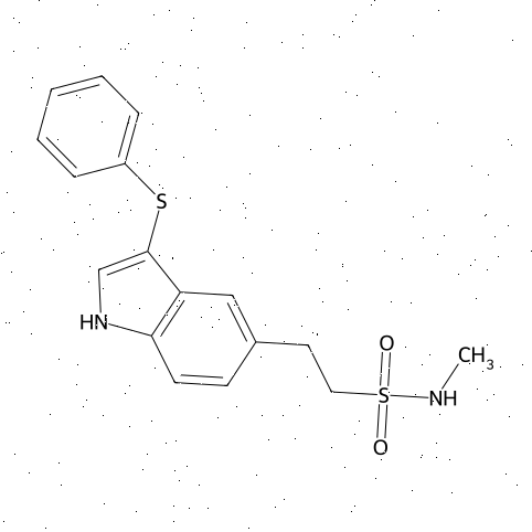 CNS(=O)(=O)CCc1ccc2[nH]cc(Sc3ccccc3)c2c1